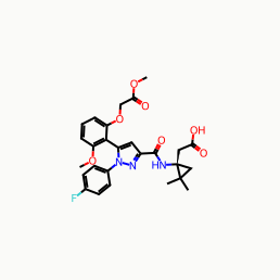 COC(=O)COc1cccc(OC)c1-c1cc(C(=O)N[C@]2(CC(=O)O)CC2(C)C)nn1-c1ccc(F)cc1